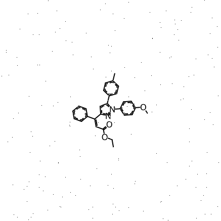 CCOC(=O)/C=C(/c1ccccc1)c1cc(-c2ccc(C)cc2)n(-c2ccc(OC)cc2)n1